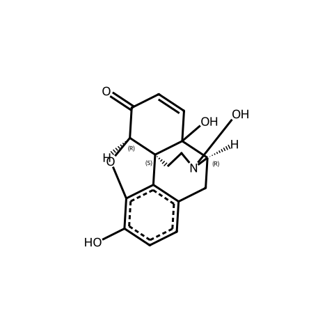 O=C1C=CC2(O)[C@H]3Cc4ccc(O)c5c4[C@@]2(CCN3O)[C@H]1O5